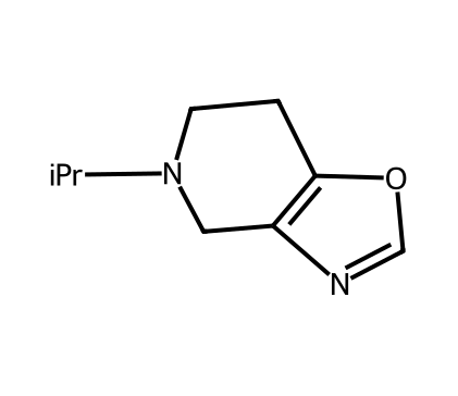 CC(C)N1CCc2ocnc2C1